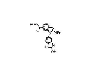 CNC(=O)c1ccc2nc(C(C)C)n(-c3ccc4c(c3)NC(O)N4)c2c1